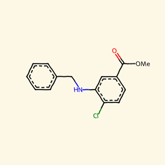 COC(=O)c1ccc(Cl)c(NCc2ccccc2)c1